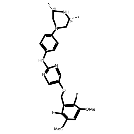 COc1cc(OC)c(F)c(COc2cnc(Nc3ccc(N4C[C@@H](C)N[C@@H](C)C4)cc3)nc2)c1F